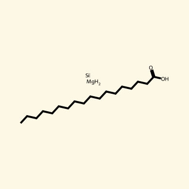 CCCCCCCCCCCCCCCCCC(=O)O.[MgH2].[Si]